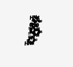 CN1CNC=C1S(=O)(=O)n1ccc2c(N3CCNCC3)cccc21